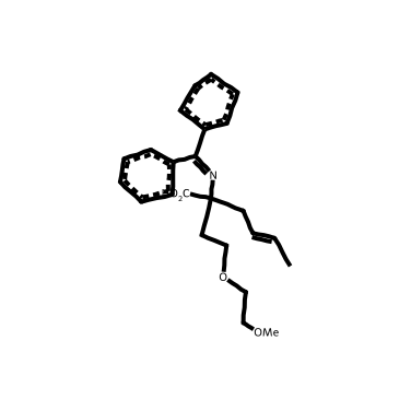 CC=CCC(CCOCCOC)(N=C(c1ccccc1)c1ccccc1)C(=O)O